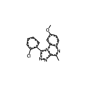 COc1ccc2nc(C)c3nnc(-c4ccccc4Cl)n3c2c1